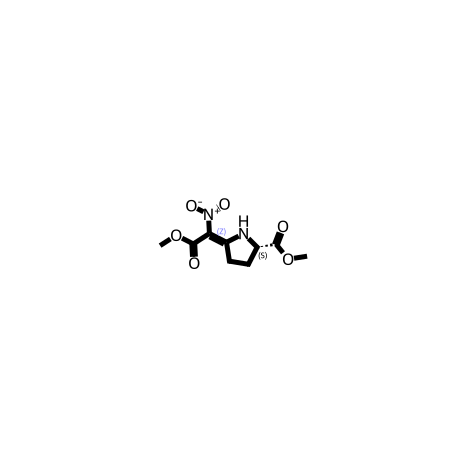 COC(=O)/C(=C1\CC[C@@H](C(=O)OC)N1)[N+](=O)[O-]